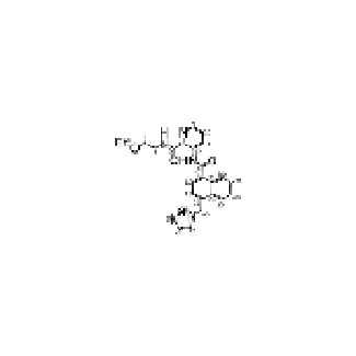 CCOCCNC(=O)c1ncccc1NC(=O)c1ccc(Cn2ccnn2)c2ccccc12